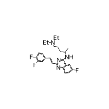 CCN(CC)CCCC(C)Nc1nc(C=Cc2ccc(F)c(F)c2)nc2ccc(F)cc12